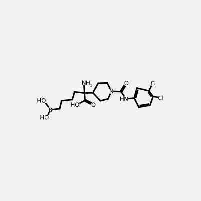 NC(CCCCB(O)O)(C(=O)O)C1CCN(C(=O)Nc2ccc(Cl)c(Cl)c2)CC1